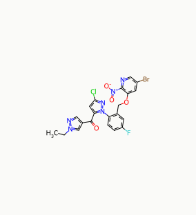 CCn1cc(C(=O)c2cc(Cl)nn2-c2ccc(F)cc2COc2cc(Br)cnc2[N+](=O)[O-])cn1